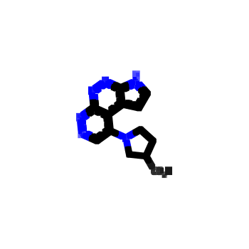 O=C(O)C1CCN(c2cnnc3nnc4[nH]ccc4c23)C1